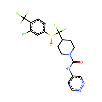 O=C(Nc1ccnnc1)N1CCC(C(F)(F)[S+]([O-])c2ccc(C(F)(F)F)c(F)c2)CC1